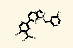 Fc1cncc(Cn2ncc3ccc(-c4ccc(F)c(C(F)F)c4)nc32)c1